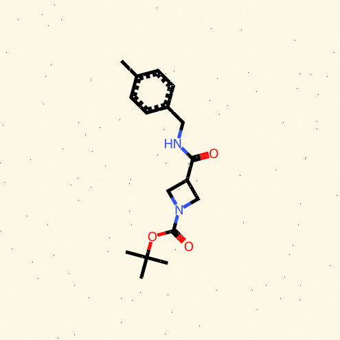 Cc1ccc(CNC(=O)C2CN(C(=O)OC(C)(C)C)C2)cc1